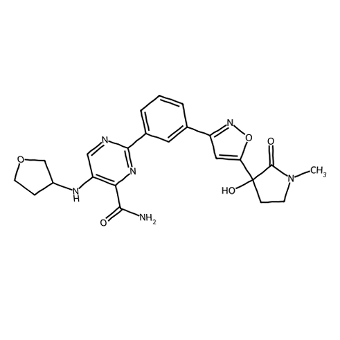 CN1CCC(O)(c2cc(-c3cccc(-c4ncc(NC5CCOC5)c(C(N)=O)n4)c3)no2)C1=O